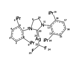 CC(C)c1cccc(C(C)C)c1N1CCN(c2c(C(C)C)cccc2C(C)C)[C]1=[Ag][CH](F)F